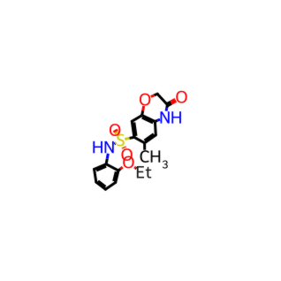 CCOc1ccccc1NS(=O)(=O)c1cc2c(cc1C)NC(=O)CO2